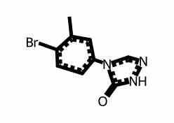 Cc1cc(-n2cn[nH]c2=O)ccc1Br